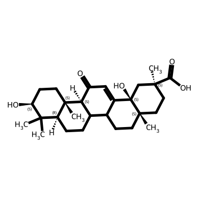 CC1(C)[C@@H](O)CC[C@]2(C)[C@H]3C(=O)C=C4C(CC[C@@]5(C)CC[C@](C)(C(=O)O)C[C@@]45O)C3CC[C@@H]12